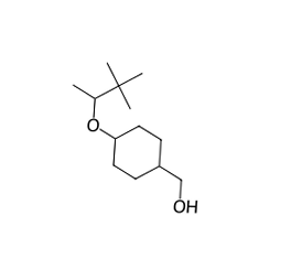 CC(OC1CCC(CO)CC1)C(C)(C)C